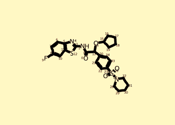 O=C(Nc1nc2ccc(F)cc2s1)C(OC1CCCC1)c1ccc(S(=O)(=O)N2CCCCC2)cc1